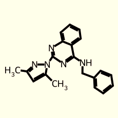 Cc1cc(C)n(-c2nc(NCc3ccccc3)c3ccccc3n2)n1